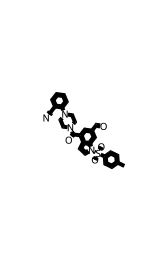 Cc1ccc(S(=O)(=O)n2ccc3c(C(=O)N4CCN(c5ccccc5C#N)CC4)cc(C=O)cc32)cc1